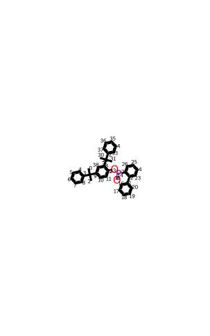 CC(C)(c1ccccc1)c1ccc(OP2Oc3ccccc3-c3ccccc32)c(C(C)(C)c2ccccc2)c1